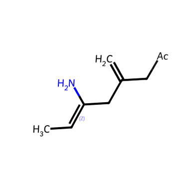 C=C(CC(C)=O)C/C(N)=C/C